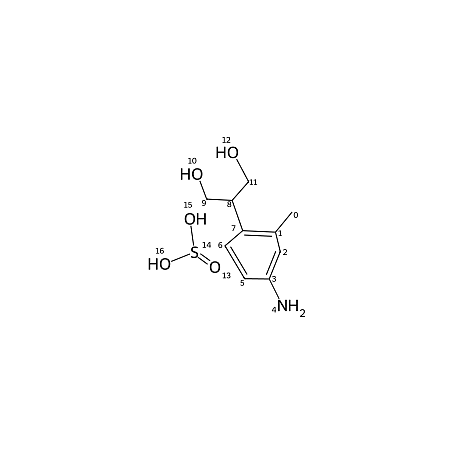 Cc1cc(N)ccc1C(CO)CO.O=S(O)O